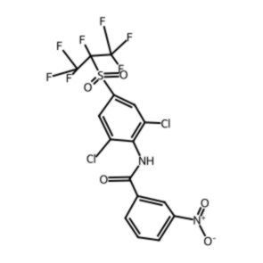 O=C(Nc1c(Cl)cc(S(=O)(=O)C(F)(C(F)(F)F)C(F)(F)F)cc1Cl)c1cccc([N+](=O)[O-])c1